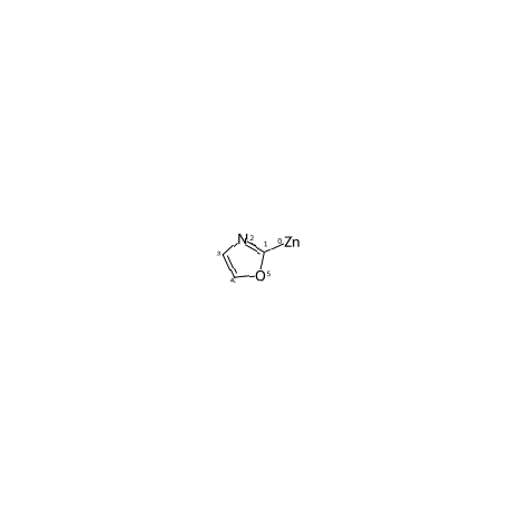 [Zn][c]1ncco1